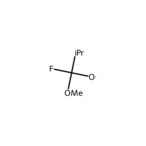 COC([O])(F)C(C)C